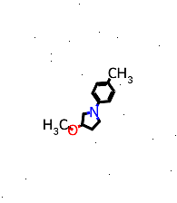 COC1CCN(c2ccc(C)cc2)C1